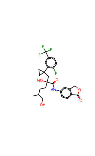 CC(CO)CCC(O)(CC1(c2cc(C(F)(F)F)ccc2F)CC1)C(=O)Nc1ccc2c(c1)COC2=O